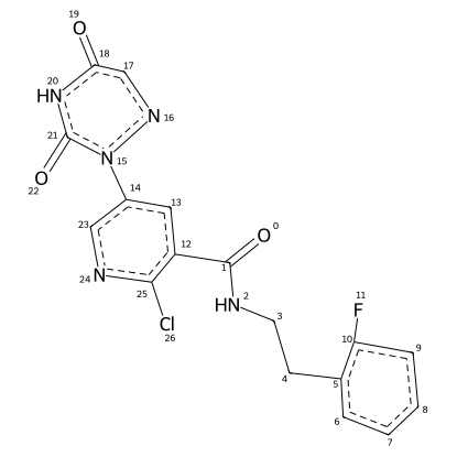 O=C(NCCc1ccccc1F)c1cc(-n2ncc(=O)[nH]c2=O)cnc1Cl